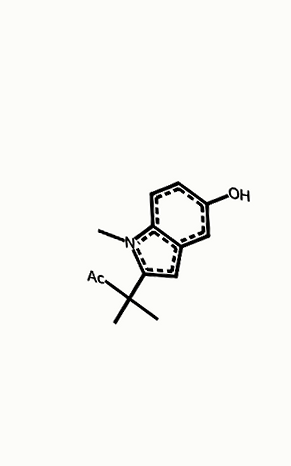 CC(=O)C(C)(C)c1cc2cc(O)ccc2n1C